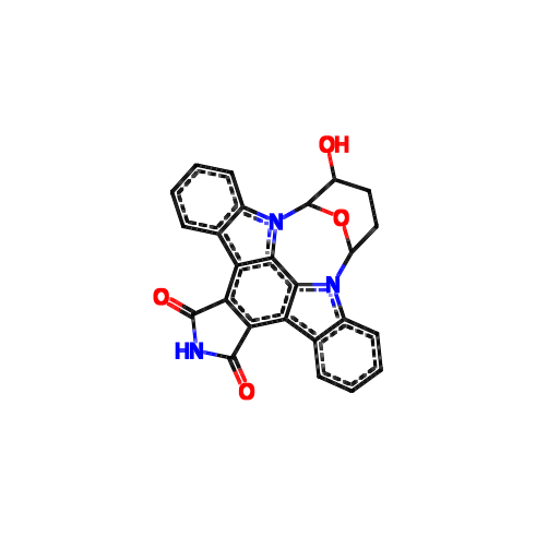 O=C1NC(=O)c2c1c1c3ccccc3n3c1c1c2c2ccccc2n1C1OC3CCC1O